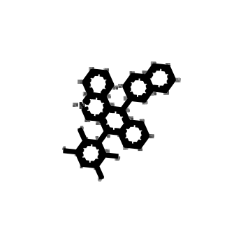 Cc1cc(C)c(C)c(-c2c3ccccc3c(-c3ccc4ccccc4c3)c3c2cnc2ccccc23)c1C